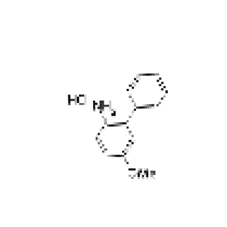 COc1ccc(N)c(-c2ccccc2)c1.Cl